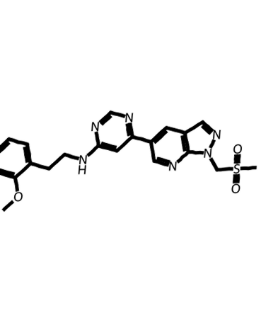 COc1ccccc1CCNc1cc(-c2cnc3c(cnn3CS(C)(=O)=O)c2)ncn1